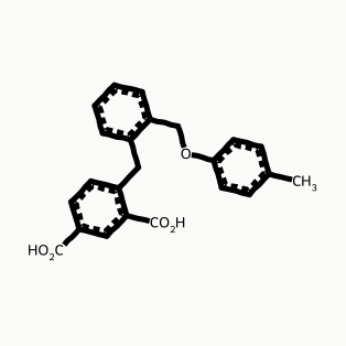 Cc1ccc(OCc2ccccc2Cc2ccc(C(=O)O)cc2C(=O)O)cc1